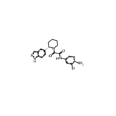 CCc1cc(NC(=O)C(=O)N2CCCC[C@H]2c2ccc3[nH]ncc3c2)cnc1N